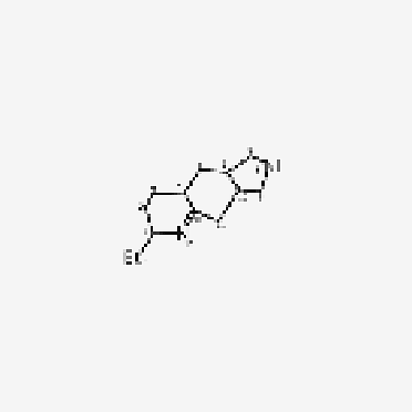 CCC1CCC2CC3CNCC3CC2=N1